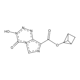 O=C(OC1C2CC1C2)c1ncn2c(=O)n(O)nnc12